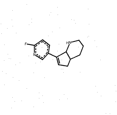 Fc1ccc(C2=CCC3CCCNC23)cn1